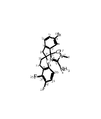 CN1OC2(N=C1N)c1cc(Br)ccc1CC21CCc2c(ccc(F)c2F)C1